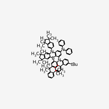 CC(C)(C)c1ccc(N2c3cc4c(cc3B3c5cc6c(cc5N(c5ccc7c(c5)C(C)(C)CC7(C)C)c5cc(N(c7ccccc7)c7ccccc7)cc2c53)C(C)(C)CC6(C)C)C(C)(C)c2ccccc2C4(C)C)c(-c2ccccc2)c1